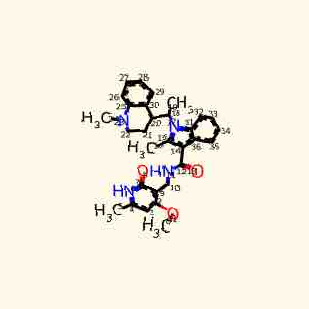 COc1cc(C)[nH]c(=O)c1CNC(=O)c1c(C)n(C(C)C2CCN(C)c3ccccc32)c2ccccc12